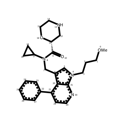 COCCCn1cc(CN(C(=O)[C@H]2CNCCO2)C2CC2)c2c(-c3ccccc3)ccnc21